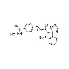 CCO[C@H](C(=O)NCc1ccc(C(=N)NO)cc1)C1(c2ccccc2)N=CN=N1